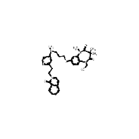 CCN1C(=O)C(C)(C)C(=O)N(C)c2cc(OCCCN(C)c3ccnc(CCn4ccc5ccccc5c4=O)c3)ccc21